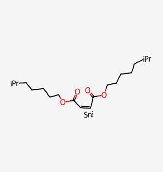 CC(C)CCCCCOC(=O)/C=C\C(=O)OCCCCCC(C)C.[Sn]